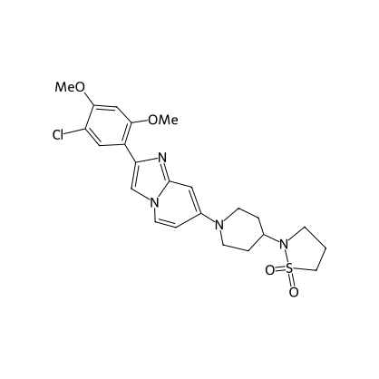 COc1cc(OC)c(-c2cn3ccc(N4CCC(N5CCCS5(=O)=O)CC4)cc3n2)cc1Cl